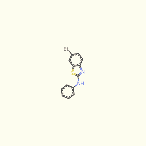 CCc1ccc2nc(Nc3ccccc3)sc2c1